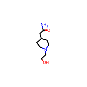 NC(=O)CC1CCN(CCO)CC1